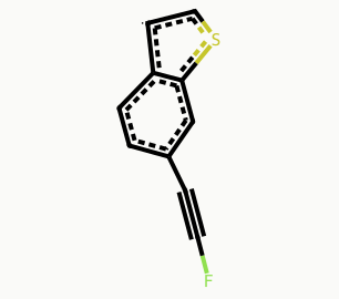 FC#Cc1ccc2[c]csc2c1